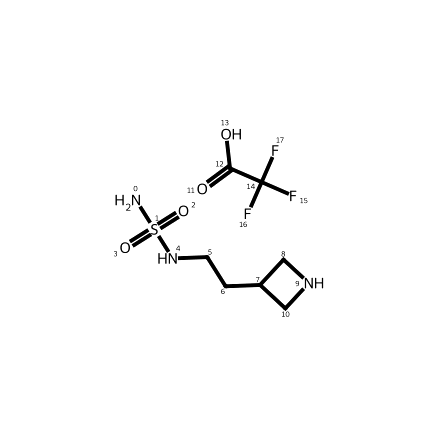 NS(=O)(=O)NCCC1CNC1.O=C(O)C(F)(F)F